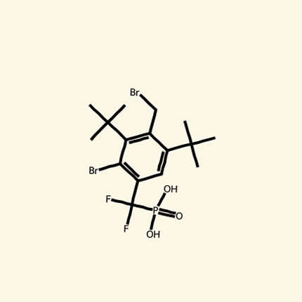 CC(C)(C)c1cc(C(F)(F)P(=O)(O)O)c(Br)c(C(C)(C)C)c1CBr